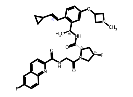 C[C@H](NC(=O)[C@@H]1C[C@@H](F)CN1C(=O)CNC(=O)c1ccc2cc(F)ccc2n1)c1cc(OC2CN(C)C2)ccc1/C=C/C1CC1